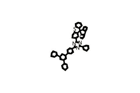 c1ccc(-c2cc(-c3ccccc3)cc(-c3ccc(-c4nc(-c5ccccc5)nc(-c5ccc6c(c5)C5(c7ccccc7S6)c6ccccc6-c6ccccc65)n4)cc3)c2)cc1